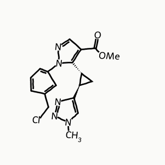 COC(=O)c1cnn(-c2cccc(CCl)c2)c1[C@@H]1C[C@H]1c1cn(C)nn1